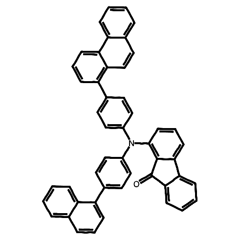 O=C1c2ccccc2-c2cccc(N(c3ccc(-c4cccc5ccccc45)cc3)c3ccc(-c4cccc5c4ccc4ccccc45)cc3)c21